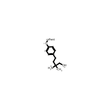 CCCCCOc1ccc(CCC(C)(N)CO)cc1